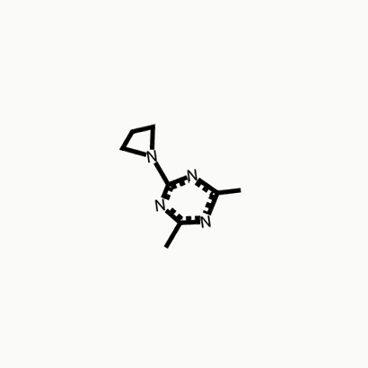 Cc1nc(C)nc(N2CCC2)n1